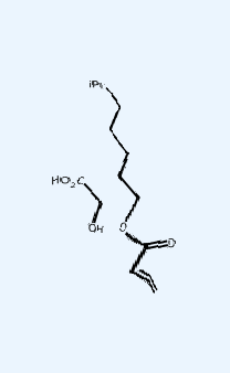 C=CC(=O)OCCCCCC(C)C.O=C(O)CO